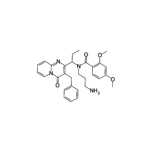 CCC(c1nc2ccccn2c(=O)c1Cc1ccccc1)N(CCCN)C(=O)c1ccc(OC)cc1OC